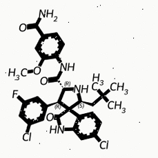 COc1cc(C(N)=O)ccc1NC(=O)[C@@H]1N[C@@H](CC(C)(C)C)C2(C(=O)Nc3cc(Cl)ccc32)[C@H]1c1cc(F)cc(Cl)c1